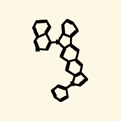 c1ccc(-n2ccc3cc4cc5c6ccccc6n(-c6cncc7ccccc67)c5cc4cc32)cc1